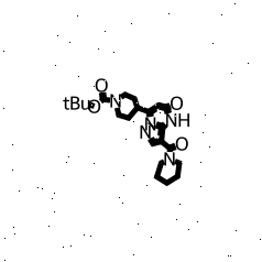 CC(C)(C)OC(=O)N1CCC(c2cc(=O)[nH]c3c(C(=O)N4CCCCC4)cnn23)CC1